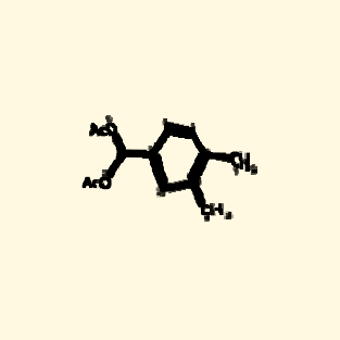 CC(=O)OC(OC(C)=O)c1ccc(C)c(C)c1